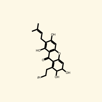 CC(C)=CCc1c(O)cc2oc3c(c(=O)c2c1O)=C(CCC(C)C)C(O)C(O)C=3